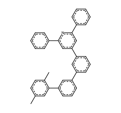 Cc1ccc(C)c(-c2cccc(-c3cccc(-c4cc(-c5ccccc5)nc(-c5ccccc5)c4)c3)c2)c1